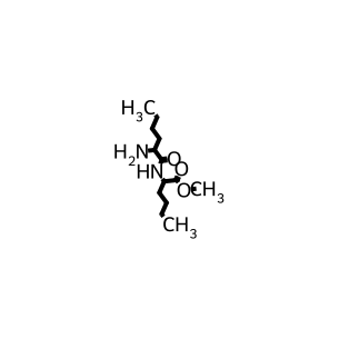 CCCCC(N)C(=O)NC(CCCC)C(=O)OC